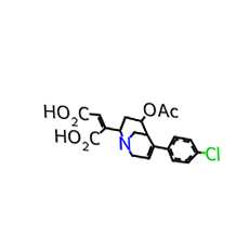 CC(=O)OC1CC(/C(=C/C(=O)O)C(=O)O)N2CC=C(c3ccc(Cl)cc3)C1C2